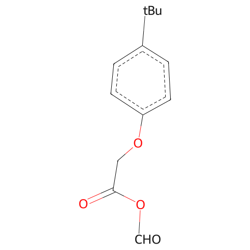 CC(C)(C)c1ccc(OCC(=O)OC=O)cc1